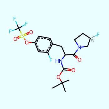 CC(C)(C)OC(=O)NC(Cc1ccc(OS(=O)(=O)C(F)(F)F)cc1F)C(=O)N1CC[C@H](F)C1